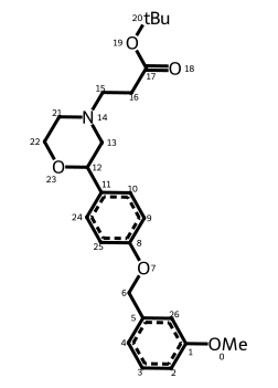 COc1cccc(COc2ccc(C3CN(CCC(=O)OC(C)(C)C)CCO3)cc2)c1